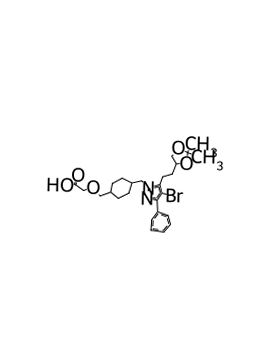 CC1(C)OCC(CCc2c(Br)c(-c3ccccc3)nn2CC2CCC(COCC(=O)O)CC2)O1